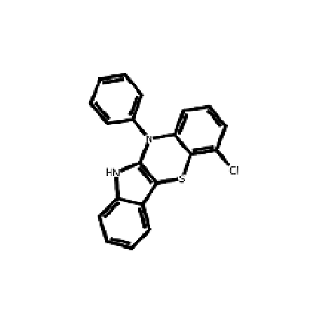 Clc1cccc2c1Sc1c([nH]c3ccccc13)N2c1ccccc1